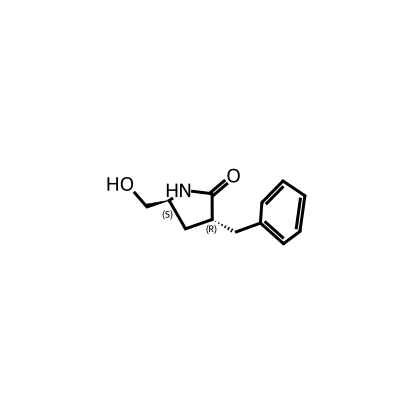 O=C1N[C@H](CO)C[C@H]1Cc1ccccc1